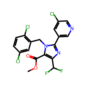 COC(=O)c1c(C(F)F)nc(-c2cncc(Cl)c2)n1Cc1cc(Cl)ccc1Cl